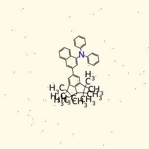 CC1(C)c2cc(-c3cc(N(c4ccccc4)c4ccccc4)c4ccccc4c3)cc3c2C(C)(C1(C)C)C(C)(C)C3(C)C